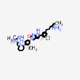 C=C[C@H](N)CCCc1cc(Cl)c(F)c(-c2cc3cn(-c4ccc([C@@H]5CCCC[C@@H](CCNC(C)=N)N5)c(SC)c4)c(=O)nc3[nH]2)c1